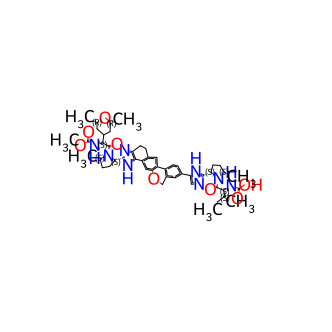 CC[C@H](C)[C@H](NC(=O)O)C(=O)N1[C@@H](C)CC[C@H]1c1ncc(-c2ccc3c(c2)COc2cc4c(cc2-3)CCc2nc([C@@H]3CC[C@H](C)N3C(=O)[C@@H](NC(=O)OC)C3C[C@@H](C)O[C@H](C)C3)[nH]c2-4)[nH]1